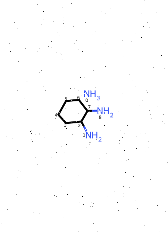 N.NC1CCCCC1N